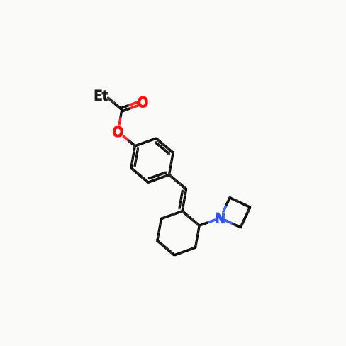 CCC(=O)Oc1ccc(C=C2CCCCC2N2CCC2)cc1